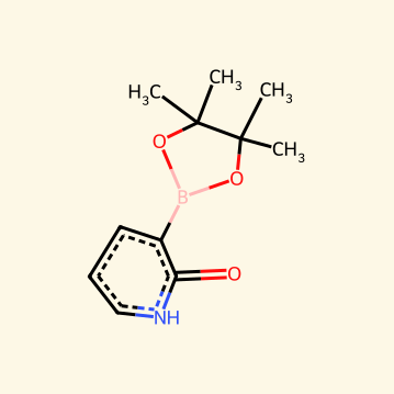 CC1(C)OB(c2ccc[nH]c2=O)OC1(C)C